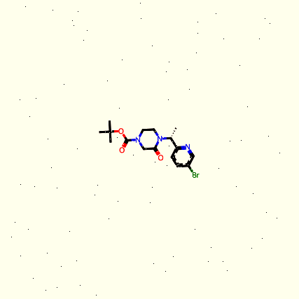 C[C@H](c1ccc(Br)cn1)N1CCN(C(=O)OC(C)(C)C)CC1=O